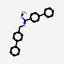 C=N/C(=N\Cc1ccc(-c2ccccc2)cc1)c1ccc(-c2ccccc2)cc1